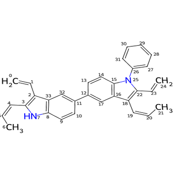 C=Cc1c(/C=C\C)[nH]c2ccc(-c3ccc4c(c3)c(/C=C\C)c(C=C)n4-c3ccccc3)cc12